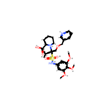 [CH2]C(C)C(COCc1cccnc1)(N1CCCCC1C(=O)O)S(=O)(=O)Nc1cc(OC)c(OC)c(OC)c1